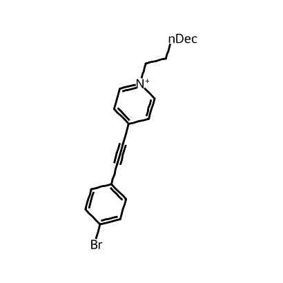 CCCCCCCCCCCC[n+]1ccc(C#Cc2ccc(Br)cc2)cc1